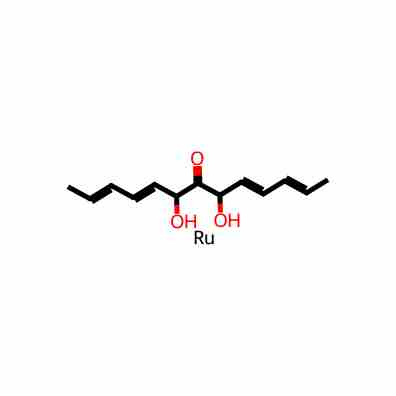 CC=CC=CC(O)C(=O)C(O)C=CC=CC.[Ru]